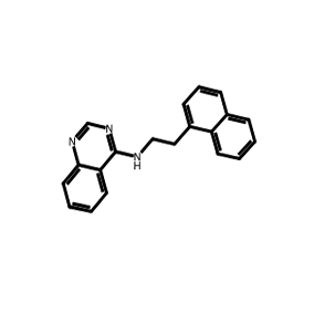 c1ccc2c(CCNc3ncnc4ccccc34)cccc2c1